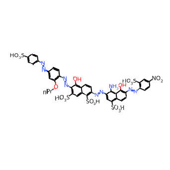 CCCOc1cc(N=Nc2ccc(S(=O)(=O)O)cc2)ccc1N=Nc1c(S(=O)(=O)O)cc2c(S(=O)(=O)O)c(N=Nc3cc(S(=O)(=O)O)c4ccc(N=Nc5ccc([N+](=O)[O-])cc5S(=O)(=O)O)c(O)c4c3N)ccc2c1O